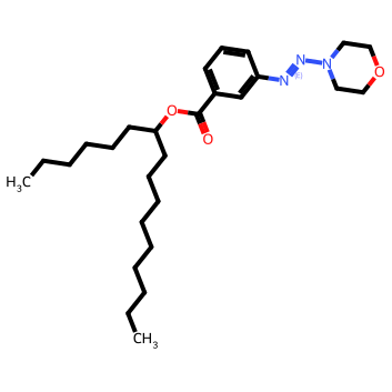 CCCCCCCCCC(CCCCCC)OC(=O)c1cccc(/N=N/N2CCOCC2)c1